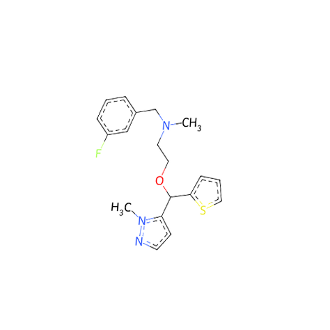 CN(CCOC(c1cccs1)c1ccnn1C)Cc1cccc(F)c1